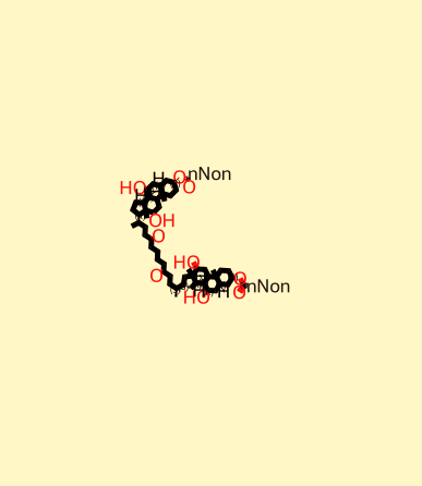 CCCCCCCCCC(=O)O[C@@H]1CCC2(C)C3CC(O)C4(C)[C@@H](C(C)CCC(=O)CCCCC(=O)CC[C@H](C)[C@H]5C[C@@H]6[C@H]7C(CC(O)C6(C)C5)C5(C)CC[C@H](OC(=O)CCCCCCCCC)C[C@H]5C[C@H]7O)CC[C@H]4[C@H]3[C@@H](O)C[C@H]2C1